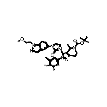 COCCn1ncc2cc(-n3ccn(-c4c5c(nn4-c4cc(C)c(F)c(C)c4)CCN(C(=O)OC(C)(C)C)C5C)c3=O)ccc21